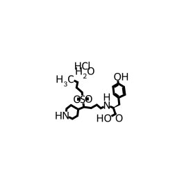 CCCCS(=O)(=O)C(CCCN[C@@H](Cc1ccc(O)cc1)C(=O)O)C1CCNCC1.Cl.O